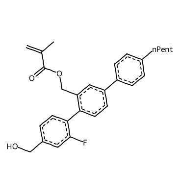 C=C(C)C(=O)OCc1cc(-c2ccc(CCCCC)cc2)ccc1-c1ccc(CO)cc1F